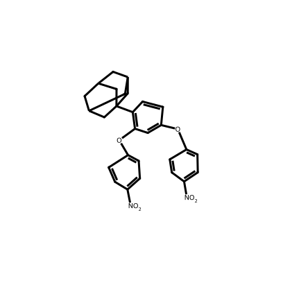 O=[N+]([O-])c1ccc(Oc2ccc(C34CC5CC(CC(C5)C3)C4)c(Oc3ccc([N+](=O)[O-])cc3)c2)cc1